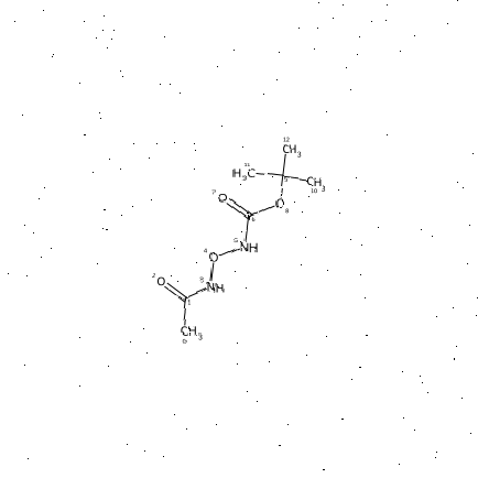 CC(=O)NONC(=O)OC(C)(C)C